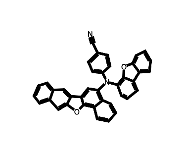 N#Cc1ccc(N(c2cc3c4cc5ccccc5cc4oc3c3ccccc23)c2cccc3c2oc2ccccc23)cc1